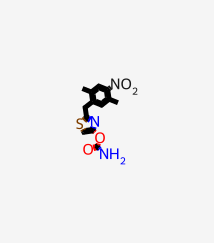 Cc1cc([N+](=O)[O-])c(C)cc1Cc1nc(OC(N)=O)cs1